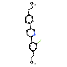 CCCc1ccc(-c2ccc(-c3ccc(CCC)cc3F)nc2)cc1